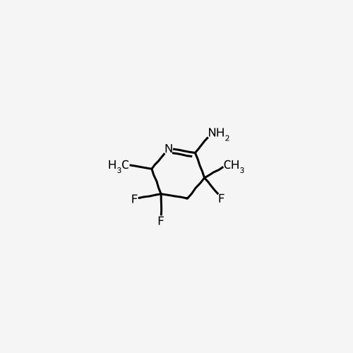 CC1N=C(N)C(C)(F)CC1(F)F